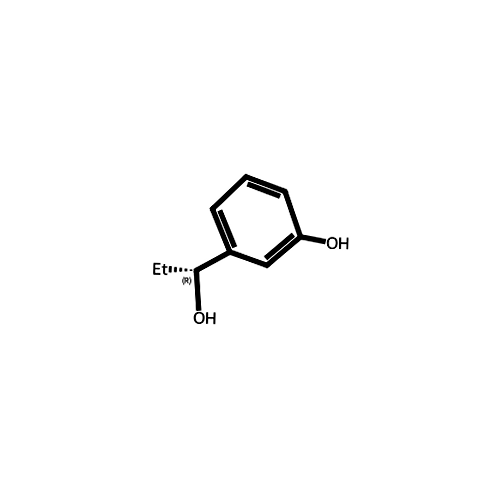 CC[C@@H](O)c1cccc(O)c1